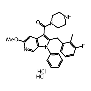 COc1cc2c(C(=O)N3CCNCC3)c(Cc3cccc(F)c3C)n(-c3ccccc3)c2cn1.Cl.Cl